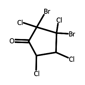 O=C1C(Cl)C(Cl)C(Cl)(Br)C1(Cl)Br